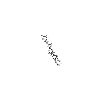 Cc1ccc(CCC2=CC=C(c3cccc(Cc4cccc(CC5CCC(C)CC5)c4)n3)C2)cc1